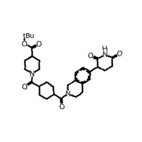 CC(C)(C)OC(=O)C1CCN(C(=O)C2CCC(C(=O)N3CCc4cc(C5CCC(=O)NC5=O)ccc4C3)CC2)CC1